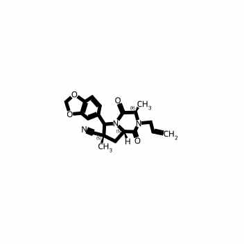 C=CCN1C(=O)[C@@H]2C[C@](C)(C#N)C(c3ccc4c(c3)OCO4)N2C(=O)[C@H]1C